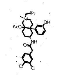 CC(=O)OC12CC[C@@H](NC(=O)Cc3ccc(Cl)c(Cl)c3)C[C@@]1(c1cccc(O)c1)CC[N@@+](C)(CC(C)C)C2